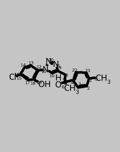 Cc1ccc(C(C)(O)Cc2cn(-c3ccc(Cl)cc3O)nn2)cc1